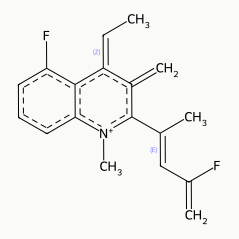 C=C(F)/C=C(\C)c1c(=C)/c(=C\C)c2c(F)cccc2[n+]1C